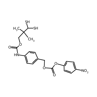 CC(C)(COC(=O)Nc1ccc(COC(=O)Oc2ccc([N+](=O)[O-])cc2)cc1)C(S)S